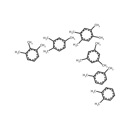 Cc1cc(C)c(C)cc1C.Cc1cc(C)cc(C)c1.Cc1ccc(C)c(C)c1.Cc1cccc(C)c1.Cc1cccc(C)c1C.Cc1ccccc1C